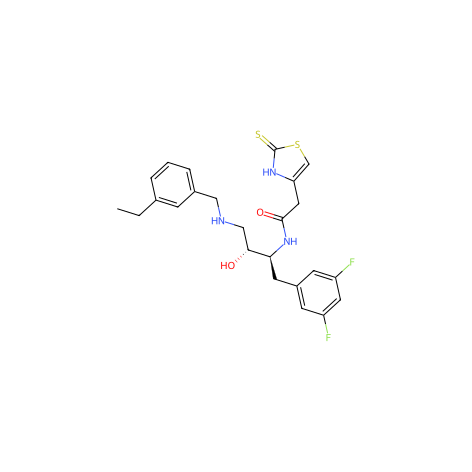 CCc1cccc(CNC[C@@H](O)[C@H](Cc2cc(F)cc(F)c2)NC(=O)Cc2csc(=S)[nH]2)c1